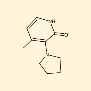 Cc1cc[nH]c(=O)c1N1CCCC1